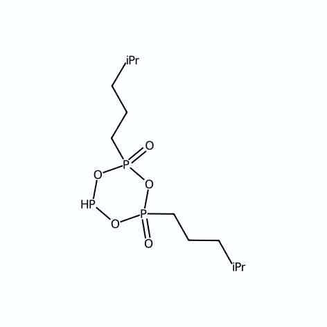 CC(C)CCCP1(=O)OPOP(=O)(CCCC(C)C)O1